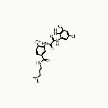 CN(C)CCCNC(=O)c1ccc(O)c(NC(=O)C(=O)Nc2cc(Cl)cc(Cl)c2O)c1